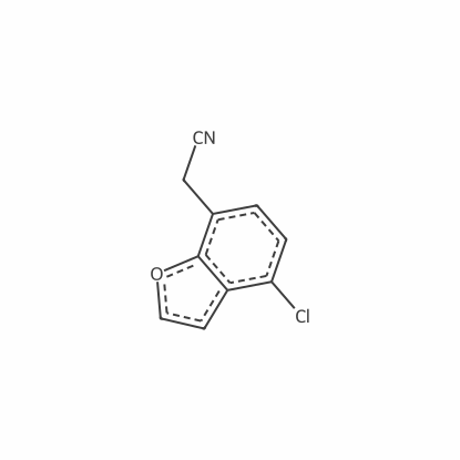 N#CCc1ccc(Cl)c2ccoc12